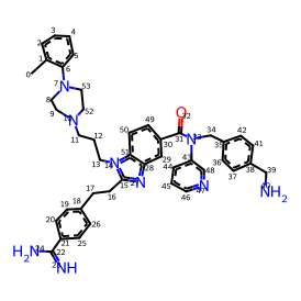 Cc1ccccc1N1CCN(CCCn2c(CCc3ccc(C(=N)N)cc3)nc3cc(C(=O)N(Cc4ccc(CN)cc4)c4cccnc4)ccc32)CC1